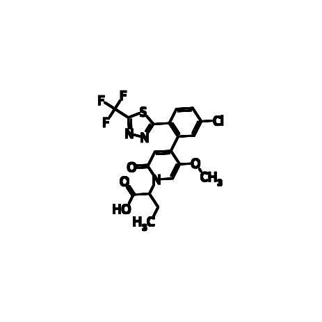 CCC(C(=O)O)n1cc(OC)c(-c2cc(Cl)ccc2-c2nnc(C(F)(F)F)s2)cc1=O